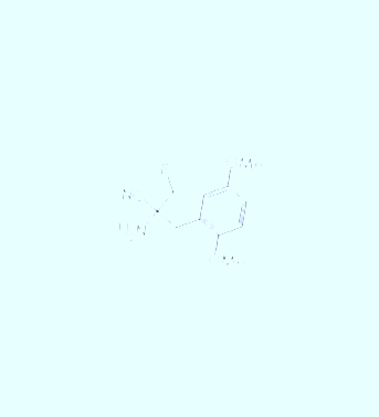 COc1ccc(OC)c(CC(N)(C#N)CF)c1